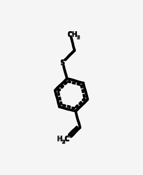 C=Cc1ccc(SCC)cc1